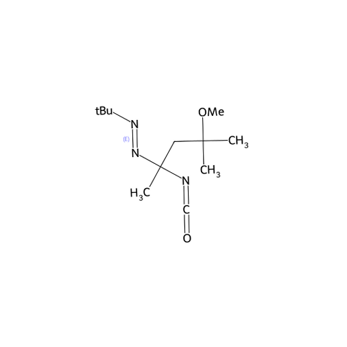 COC(C)(C)CC(C)(N=C=O)/N=N/C(C)(C)C